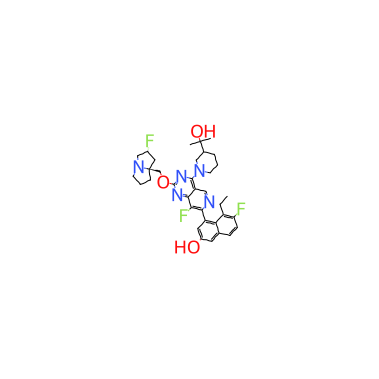 CCc1c(F)ccc2cc(O)cc(-c3ncc4c(N5CCCC(C(C)(C)O)C5)nc(OC[C@@]56CCCN5C[C@H](F)C6)nc4c3F)c12